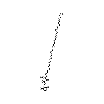 O=C(CCN1C(=O)C=CC1=O)NC(O)COCCOCCOCCOCCOCCOCCOCCOCCOCCOCCOCCO